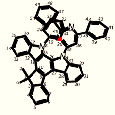 CC1(C)c2ccccc2-c2c1c1c3ccccc3n(-c3ccccc3)c1c1c2c2ccccc2n1-c1cc(-c2ccccc2)nc(-c2ccccc2)n1